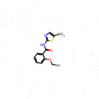 CC(=O)COc1ccccc1C(=O)Nc1ncc([N+](=O)[O-])s1